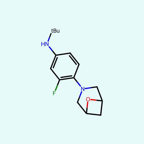 CC(C)(C)Nc1ccc(N2CC3CC(C2)O3)c(F)c1